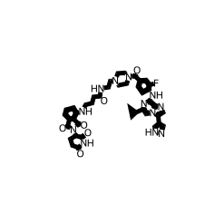 O=C(CCCNc1cccc2c1C(=O)N(C1CCC(=O)NC1=O)C2=O)NCCN1CCN(C(=O)c2ccc(Nc3nc(C4CC4)cn4c(-c5cn[nH]c5)cnc34)c(F)c2)CC1